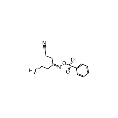 CCCC(CCC#N)=NOS(=O)(=O)c1ccccc1